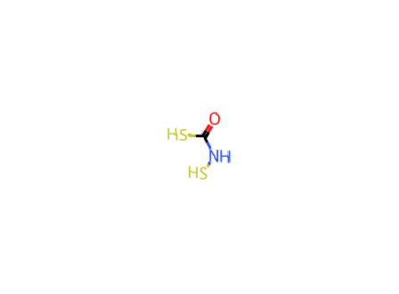 O=C(S)NS